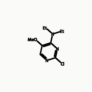 CCN(CC)c1nc(Cl)ncc1OC